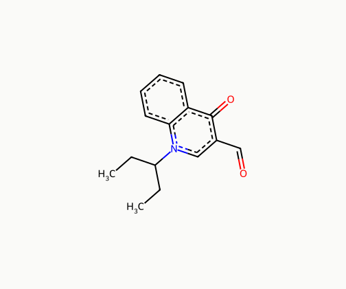 CCC(CC)n1cc(C=O)c(=O)c2ccccc21